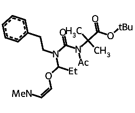 CCC(O/C=C\NC)N(CCc1ccccc1)C(=O)N(C(C)=O)C(C)(C)C(=O)OC(C)(C)C